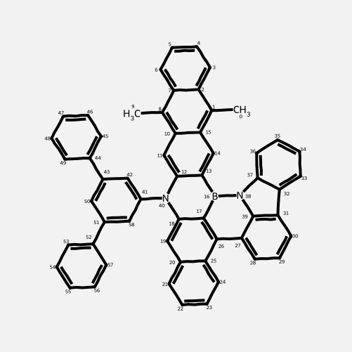 Cc1c2ccccc2c(C)c2cc3c(cc12)B1c2c(cc4ccccc4c2-c2cccc4c5ccccc5n1c24)N3c1cc(-c2ccccc2)cc(-c2ccccc2)c1